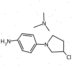 CN(C)C.Nc1ccc(N2CCC(Cl)C2)cc1